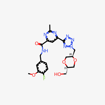 COc1cc(CNC(=O)c2cc(-c3nnn(C[C@@H]4CO[C@@H](CO)CO4)n3)nc(C)n2)ccc1F